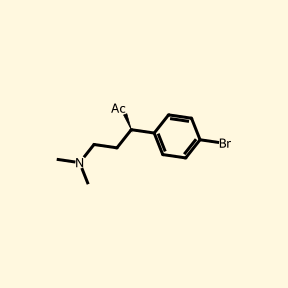 CC(=O)[C@H](CCN(C)C)c1ccc(Br)cc1